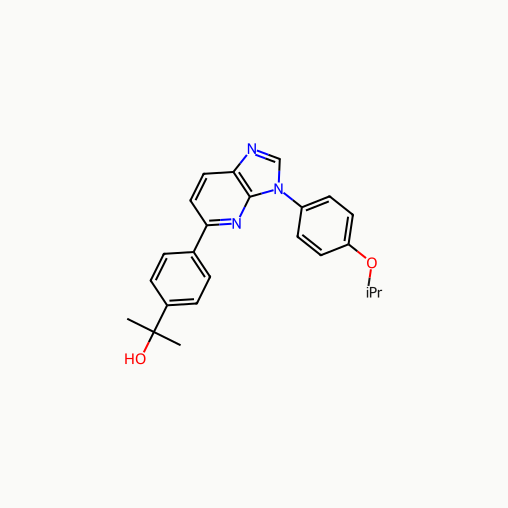 CC(C)Oc1ccc(-n2cnc3ccc(-c4ccc(C(C)(C)O)cc4)nc32)cc1